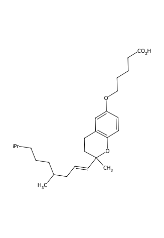 CC(C)CCCC(C)CC=CC1(C)CCc2cc(OCCCCC(=O)O)ccc2O1